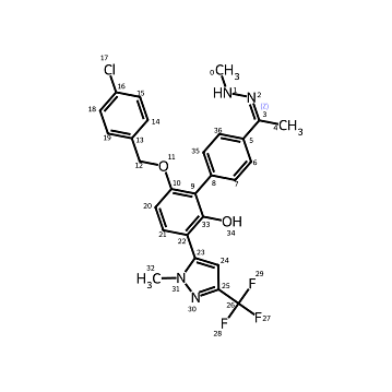 CN/N=C(/C)c1ccc(-c2c(OCc3ccc(Cl)cc3)ccc(-c3cc(C(F)(F)F)nn3C)c2O)cc1